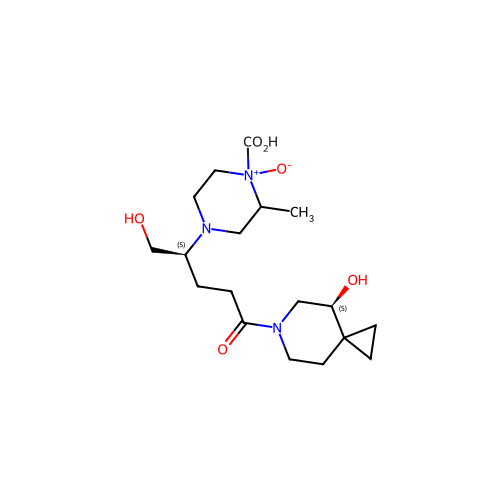 CC1CN([C@H](CO)CCC(=O)N2CCC3(CC3)[C@H](O)C2)CC[N+]1([O-])C(=O)O